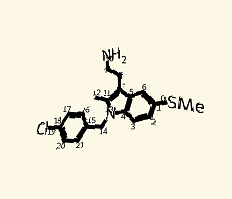 CSc1ccc2c(c1)c(CCN)c(C)n2Cc1ccc(Cl)cc1